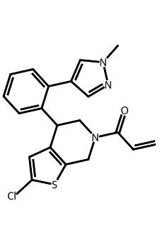 C=CC(=O)N1Cc2sc(Cl)cc2C(c2ccccc2-c2cnn(C)c2)C1